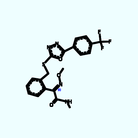 CNC(=O)/C(=N/OC)c1ccccc1CSc1nnc(-c2ccc(C(F)(F)F)cc2)o1